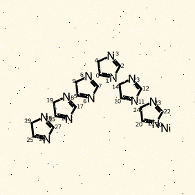 C1=NC=NC1.C1=NC=NC1.C1=NC=NC1.C1=NC=NC1.C1=NC=NC1.C1=NC=NC1.[Ni]